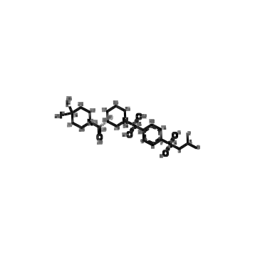 CC(C)CS(=O)(=O)c1ccc(S(=O)(=O)N2CCC[C@@H](C(=O)N3CCC(F)(F)CC3)C2)cc1